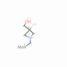 CNCN1CC(F)(CO)C1